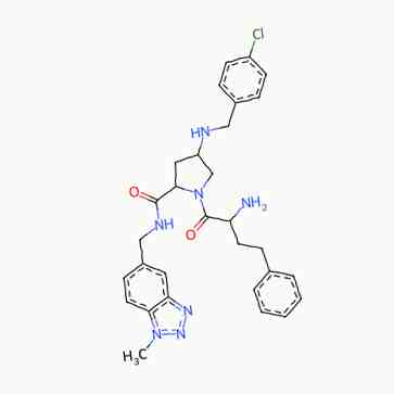 Cn1nnc2cc(CNC(=O)C3CC(NCc4ccc(Cl)cc4)CN3C(=O)C(N)CCc3ccccc3)ccc21